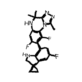 Cc1nnc2n1-c1c(cc(F)c(-c3cc(F)cc4c3NCC43CC3)c1F)NC2(C)C